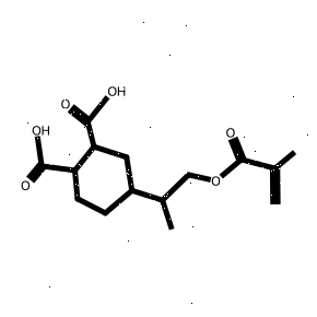 C=C(C)C(=O)OCC(C)C1CCC(C(=O)O)C(C(=O)O)C1